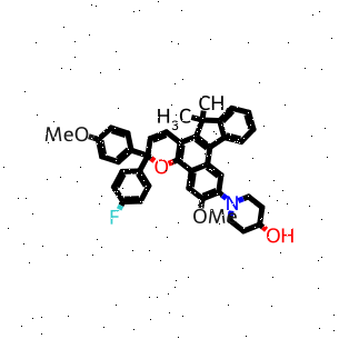 COc1ccc(C2(c3ccc(F)cc3)C=Cc3c4c(c5cc(N6CCC(O)CC6)c(OC)cc5c3O2)-c2ccccc2C4(C)C)cc1